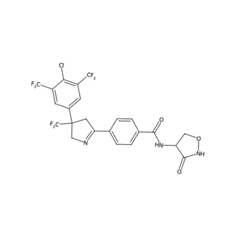 O=C(NC1CONC1=O)c1ccc(C2=NCC(c3cc(C(F)(F)F)c(Cl)c(C(F)(F)F)c3)(C(F)(F)F)C2)cc1